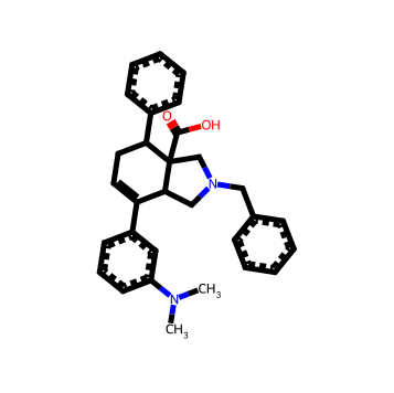 CN(C)c1cccc(C2=CCC(c3ccccc3)C3(C(=O)O)CN(Cc4ccccc4)CC23)c1